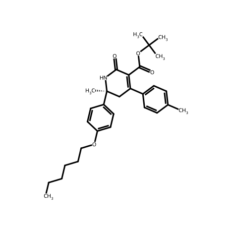 CCCCCCOc1ccc([C@]2(C)CC(c3ccc(C)cc3)=C(C(=O)OC(C)(C)C)C(=O)N2)cc1